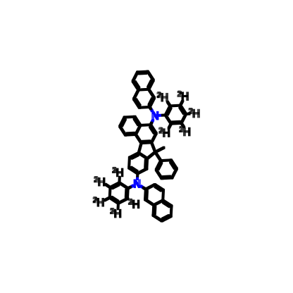 [2H]c1c([2H])c([2H])c(N(c2ccc3c(c2)C(C)(c2ccccc2)c2cc(N(c4ccc5ccccc5c4)c4c([2H])c([2H])c([2H])c([2H])c4[2H])c4ccccc4c2-3)c2ccc3ccccc3c2)c([2H])c1[2H]